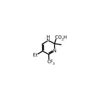 CCC1=CNC(C)(C(=O)O)N=C1C(F)(F)F